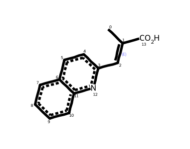 C/C(=C\c1ccc2ccccc2n1)C(=O)O